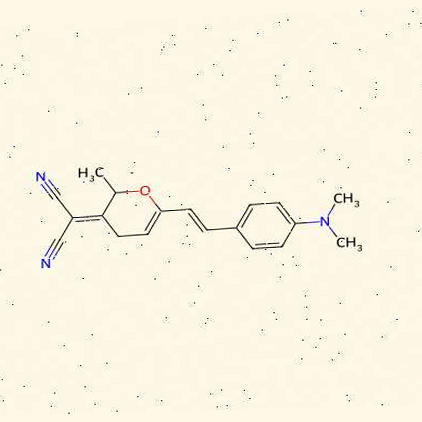 CC1OC(C=Cc2ccc(N(C)C)cc2)=CCC1=C(C#N)C#N